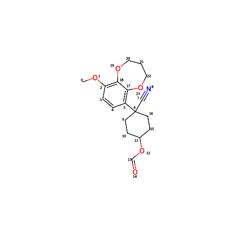 COc1ccc(C2(C#N)CCC(OC=O)CC2)c2c1OCCCO2